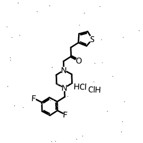 Cl.Cl.O=C(Cc1ccsc1)CN1CCN(Cc2cc(F)ccc2F)CC1